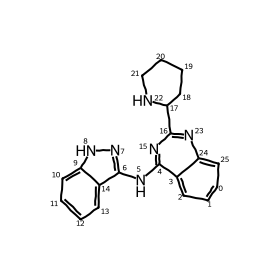 c1ccc2c(Nc3n[nH]c4ccccc34)nc(C3CCCCN3)nc2c1